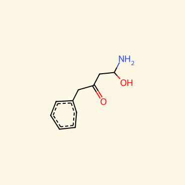 NC(O)CC(=O)Cc1ccccc1